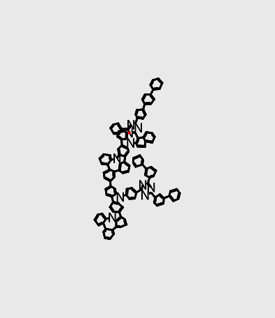 c1ccc(-c2ccc(-c3ccc(-c4nc(-c5ccccc5)nc(-c5c(-n6c7ccccc7c7cc8c(cc76)c6cccc7c6n8-c6ccccc6-c6ccc(-c8ccc9c%10cc%11c(cc%10n(-c%10ccc(-c%12nc(-c%13cccc(-c%14ccccc%14)c%13)nc(-c%13cccc(-c%14ccccc%14)c%13)n%12)cc%10)c9c8)c8cccc9c8n%11-c8ccccc8-c8ccccc8-9)cc6-7)ccc6ccccc56)n4)cc3)cc2)cc1